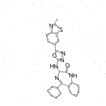 Cc1nc2ccc(-c3nnc(NC4N=C(c5ccccc5)c5ccccc5NC4=O)o3)cc2s1